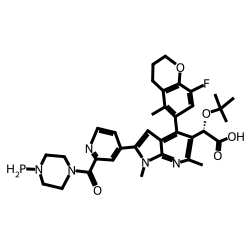 Cc1nc2c(cc(-c3ccnc(C(=O)N4CCN(P)CC4)c3)n2C)c(-c2cc(F)c3c(c2C)CCCO3)c1[C@H](OC(C)(C)C)C(=O)O